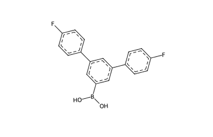 OB(O)c1cc(-c2ccc(F)cc2)cc(-c2ccc(F)cc2)c1